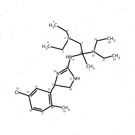 CCN(CC)CC(C)(NC1=NC(c2cc(Cl)ccc2C)CN1)N(CC)CC